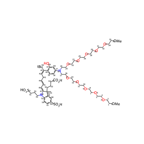 COCCOCCOCCOCCOCCOCCN(CCOCCOCCOCCOCCOCCOC)c1ccc(/C(=C\C/C=C/C=C2/N(CCCS(=O)(=O)O)c3ccc(S(=O)(=O)O)cc3C2(C)CCCC(=O)O)C(C)(C)C)c(O)c1